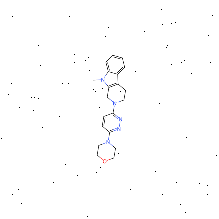 Cn1c2c(c3ccccc31)CCN(c1ccc(N3CCOCC3)nn1)C2